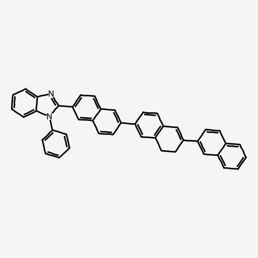 C1=C(c2ccc3ccccc3c2)CCc2cc(-c3ccc4cc(-c5nc6ccccc6n5-c5ccccc5)ccc4c3)ccc21